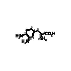 Nc1ccc(CC(N)C(=O)O)cc1N